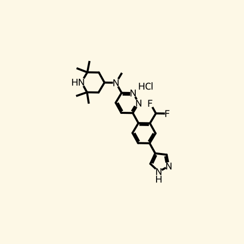 CN(c1ccc(-c2ccc(-c3cn[nH]c3)cc2C(F)F)nn1)C1CC(C)(C)NC(C)(C)C1.Cl